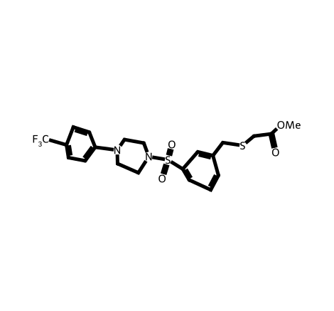 COC(=O)CSCc1cccc(S(=O)(=O)N2CCN(c3ccc(C(F)(F)F)cc3)CC2)c1